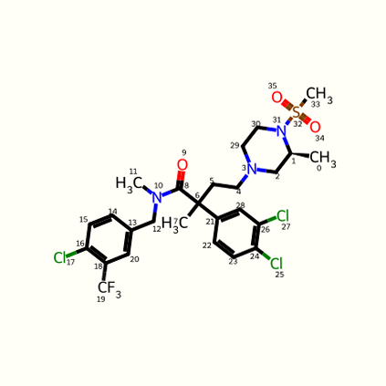 C[C@H]1CN(CCC(C)(C(=O)N(C)Cc2ccc(Cl)c(C(F)(F)F)c2)c2ccc(Cl)c(Cl)c2)CCN1S(C)(=O)=O